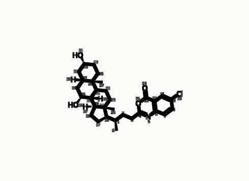 C[C@H](CCc1nc2ccc(Cl)cc2c(=O)o1)[C@H]1CC[C@H]2[C@H]3C(CC[C@]12C)[C@@]1(C)CC[C@@H](O)C[C@H]1C[C@H]3O